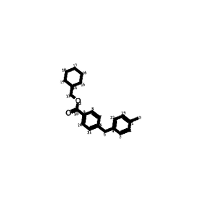 Cc1ccc(Cc2ccc(C(=O)OCC3CCCCC3)cc2)cc1